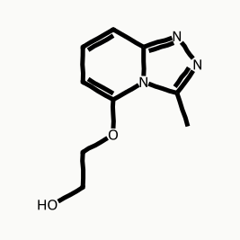 Cc1nnc2cccc(OCCO)n12